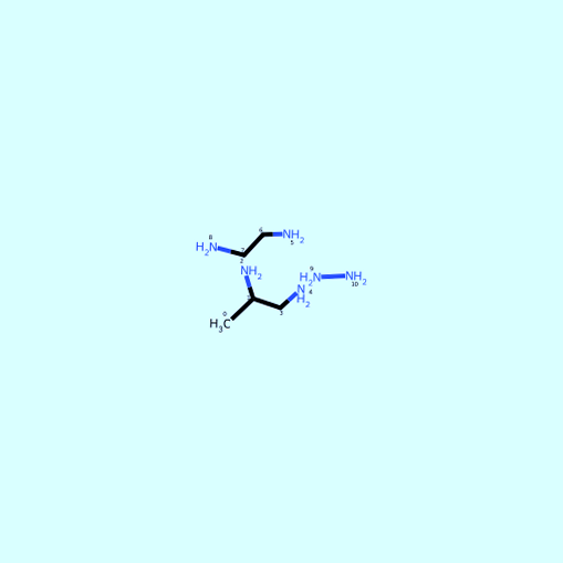 CC(N)CN.NCCN.NN